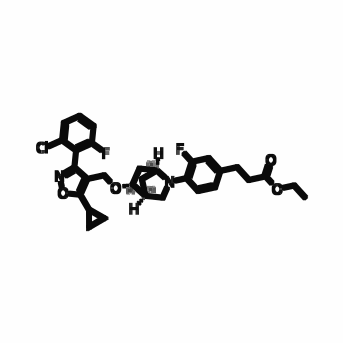 CCOC(=O)CCc1ccc(N2C[C@@H]3C[C@H]2C[C@H]3OCc2c(-c3c(F)cccc3Cl)noc2C2CC2)c(F)c1